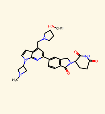 CN1CC(n2ccc3c(CN4CCCC4)cc(-c4ccc5c(c4)CN(C4CCC(=O)NC4=O)C5=O)nc32)C1.O=CO